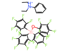 CC[NH+](CC)c1ccccc1.Fc1c(F)c(F)c(O[B-](c2c(F)c(F)c(F)c(F)c2F)(c2c(F)c(F)c(F)c(F)c2F)c2c(F)c(F)c(F)c(F)c2F)c(F)c1F